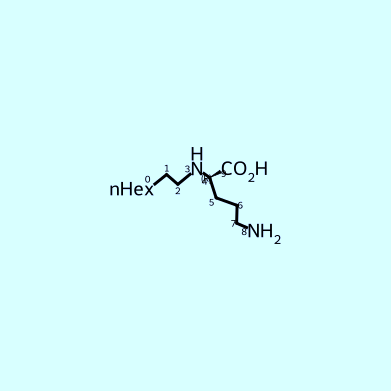 CCCCCCCCN[C@H](CCCN)C(=O)O